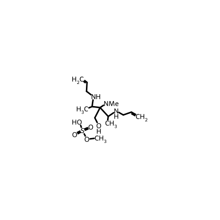 C=CCNC(C)C(CO)(NC)C(C)NCC=C.COS(=O)(=O)O